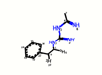 [2H]C(NC(=N)NC(C)=N)C([2H])c1ccccc1